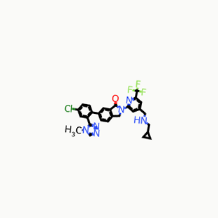 Cn1cnnc1-c1cc(Cl)ccc1-c1ccc2c(c1)C(=O)N(c1cc(CNCC3CC3)cc(C(F)(F)F)n1)C2